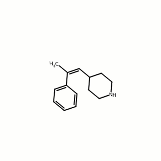 C/C(=C/C1CCNCC1)c1ccccc1